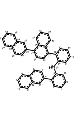 c1ccc(-c2ccc3ccccc3c2)c(Nc2ccccc2-c2ccc(-c3ccc4ccccc4c3)c3ccccc23)c1